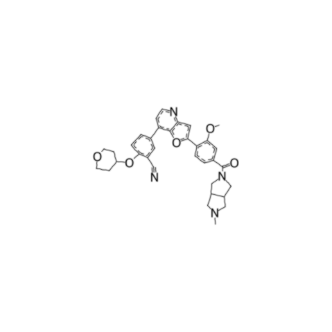 COc1cc(C(=O)N2CC3CN(C)CC3C2)ccc1-c1cc2nccc(-c3ccc(OC4CCOCC4)c(C#N)c3)c2o1